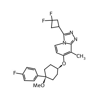 CO[C@]1(c2ccc(F)cc2)CC[C@H](Oc2ccn3c(C4CC(F)(F)C4)nnc3c2C)CC1